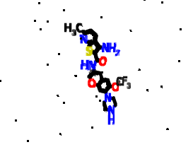 Cc1ccc2c(N)c(C(=O)N[C@@H]3COc4cc(N5CCNCC5)c(OC(F)(F)F)cc4C3)sc2n1